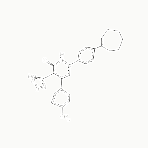 Cc1ccc(-c2cc(-c3ccc(C4=CCCCCC4)cc3)[nH]c(=O)c2-c2nnn[nH]2)cc1